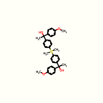 COc1ccc(C(C)(O)c2ccc(S(C)(C)c3ccc(C(C)(O)c4ccc(OC)cc4)cc3)cc2)cc1